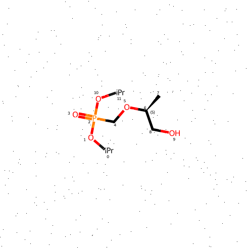 CC(C)OP(=O)(CO[C@@H](C)CO)OC(C)C